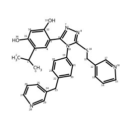 CC(C)c1cc(-c2nnc(SCc3cccnc3)n2-c2ccc(Cc3cccnc3)cc2)c(O)cc1O